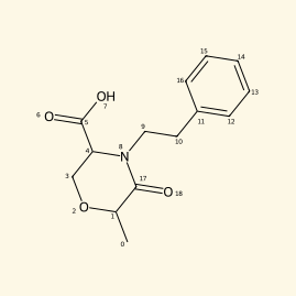 CC1OCC(C(=O)O)N(CCc2ccccc2)C1=O